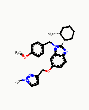 Cn1ccc(COc2ccc3nc([C@H]4CCCC[C@H]4C(=O)O)n(Cc4ccc(OC(F)(F)F)cc4)c3c2)n1